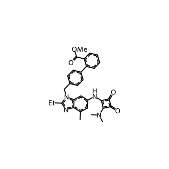 CCc1nc2c(C)cc(Nc3c(N(C)C)c(=O)c3=O)cc2n1Cc1ccc(-c2ccccc2C(=O)OC)cc1